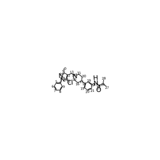 Cc1nn(-c2ccccc2)c(Cl)c1CN1CCC(c2cccc(NC(=O)C(C)C)c2)CC1